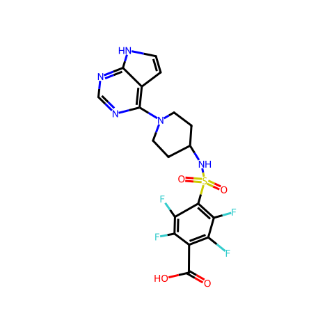 O=C(O)c1c(F)c(F)c(S(=O)(=O)NC2CCN(c3ncnc4[nH]ccc34)CC2)c(F)c1F